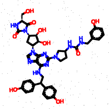 O=C(NCc1cccc(O)c1)NC1CCN(c2nc(NCC(c3ccc(O)cc3)c3ccc(O)cc3)c3ncn([C@@H]4C[C@H](N5C(=O)N[C@H](CO)C5=O)[C@@H](O)[C@H]4O)c3n2)C1